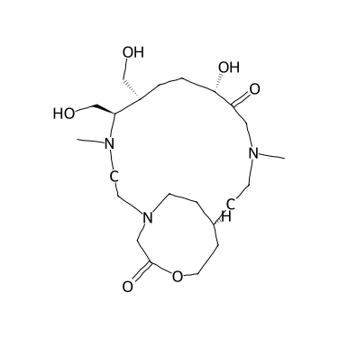 CN1CC[C@H]2CCOC(=O)CN(CC2)CCN(C)[C@@H](CO)[C@H](CO)CC[C@H](O)C(=O)C1